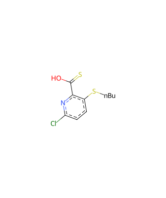 CCCCSc1ccc(Cl)nc1C(O)=S